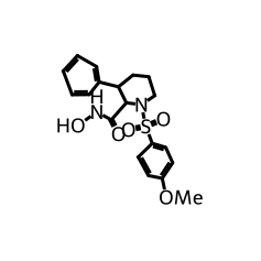 COc1ccc(S(=O)(=O)N2CCCC(c3ccccc3)C2C(=O)NO)cc1